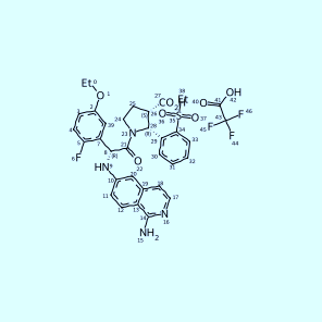 CCOc1ccc(F)c([C@@H](Nc2ccc3c(N)nccc3c2)C(=O)N2CC[C@H](C(=O)O)[C@@H]2c2ccccc2S(=O)(=O)CC)c1.O=C(O)C(F)(F)F